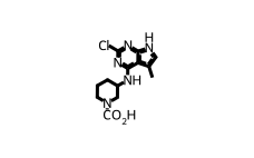 Cc1c[nH]c2nc(Cl)nc(NC3CCCN(C(=O)O)C3)c12